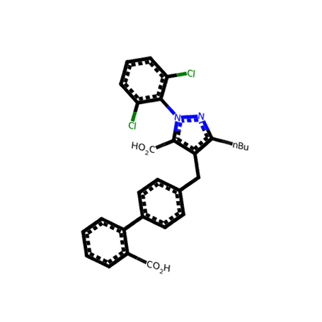 CCCCc1nn(-c2c(Cl)cccc2Cl)c(C(=O)O)c1Cc1ccc(-c2ccccc2C(=O)O)cc1